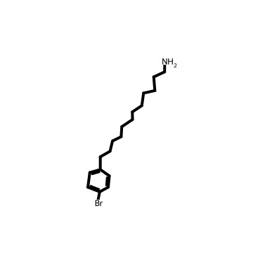 NCCCCCCCCCCCCc1ccc(Br)cc1